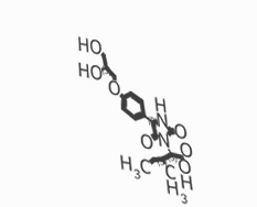 CC[C@H](C)[C@@H](C(=O)O)N1C(=O)N[C@H](c2ccc(OC[C@@H](O)CO)cc2)C1=O